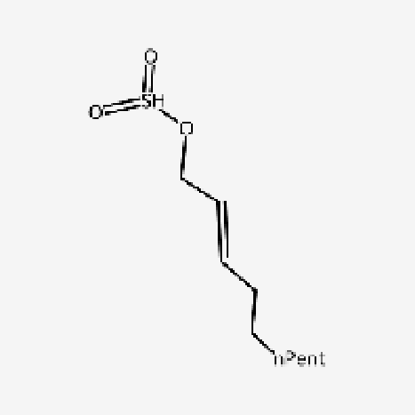 CCCCCCCC=CCO[SH](=O)=O